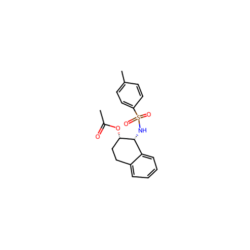 CC(=O)O[C@H]1CCc2ccccc2[C@H]1NS(=O)(=O)c1ccc(C)cc1